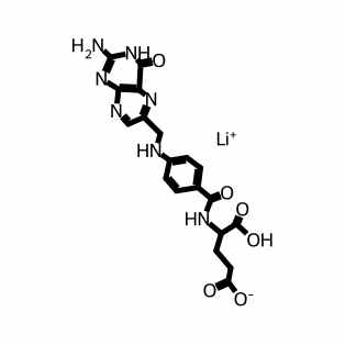 Nc1nc2ncc(CNc3ccc(C(=O)NC(CCC(=O)[O-])C(=O)O)cc3)nc2c(=O)[nH]1.[Li+]